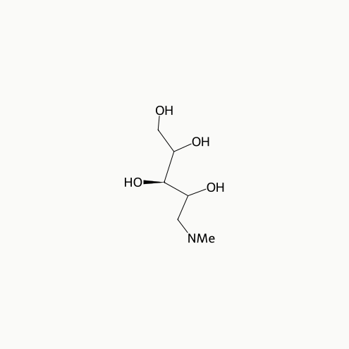 CNCC(O)[C@@H](O)C(O)CO